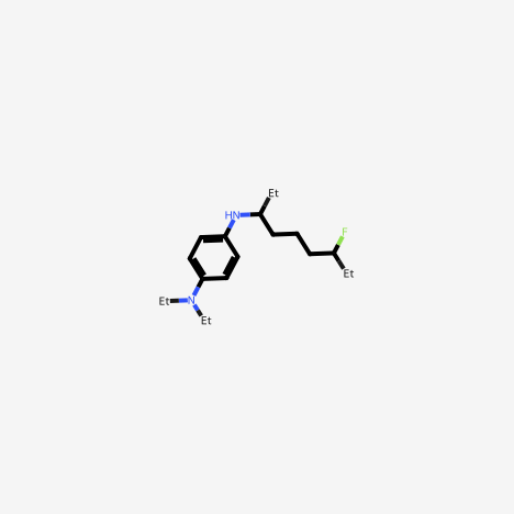 CCC(F)CCCC(CC)Nc1ccc(N(CC)CC)cc1